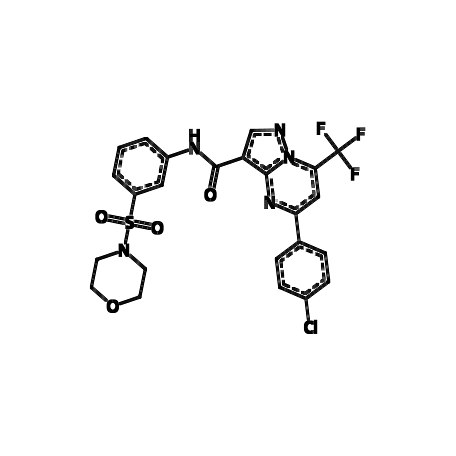 O=C(Nc1cccc(S(=O)(=O)N2CCOCC2)c1)c1cnn2c(C(F)(F)F)cc(-c3ccc(Cl)cc3)nc12